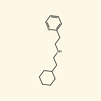 c1ccc(CCNCCC2CCCCC2)nc1